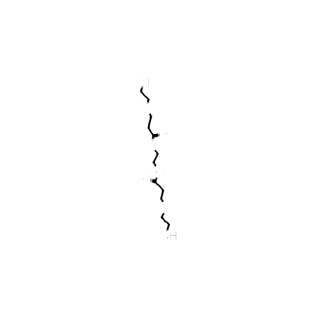 O=C(CCSCCS)OCCOC(=O)CCSCCS